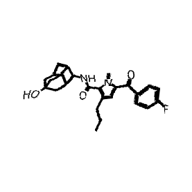 CCCc1cc(C(=O)c2ccc(F)cc2)n(C)c1C(=O)NC1C2CC3CC1CC(O)(C3)C2